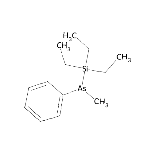 CC[Si](CC)(CC)[As](C)c1ccccc1